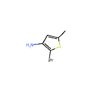 Cc1cc(N)c(C(C)C)s1